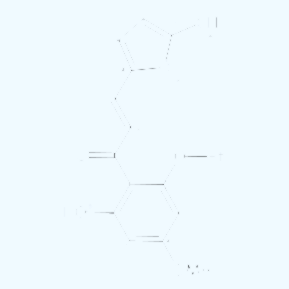 CCOc1cc(OC)cc(O)c1C(=O)C=Cc1ccc(C)o1